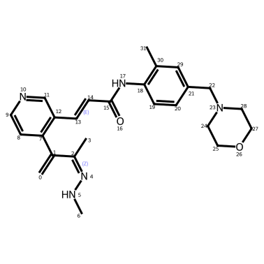 C=C(/C(C)=N\NC)c1ccncc1/C=C/C(=O)Nc1ccc(CN2CCOCC2)cc1C